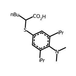 CCCCC(Sc1cc(C(C)C)c(N(C)C)c(C(C)C)c1)C(=O)O